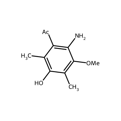 COc1c(C)c(O)c(C)c(C(C)=O)c1N